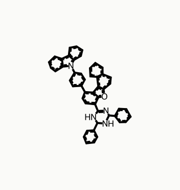 c1ccc(C2N=C(c3ccc(-c4ccc(-n5c6ccccc6c6ccccc65)cc4)c4c3oc3ccc5ccccc5c34)NC(c3ccccc3)N2)cc1